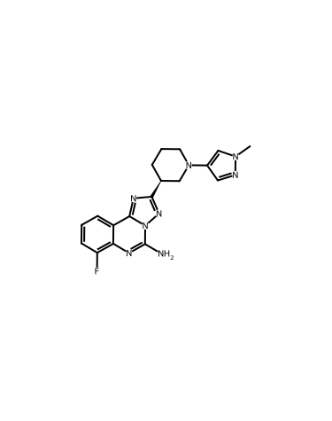 Cn1cc(N2CCC[C@H](c3nc4c5cccc(F)c5nc(N)n4n3)C2)cn1